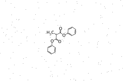 C[C](C(=O)Oc1ccccc1)C(=O)Oc1ccccc1